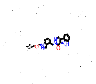 C[Si](C)(C)CCOCn1ncc2c(Cn3ncc4c([nH]c5ccccc54)c3=O)cccc21